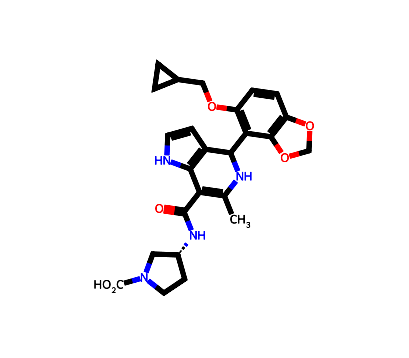 CC1=C(C(=O)N[C@@H]2CCN(C(=O)O)C2)c2[nH]ccc2C(c2c(OCC3CC3)ccc3c2OCO3)N1